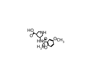 COc1ccc(OC)c(S(=O)(=O)NC2CNCC(C(=O)O)C2)c1